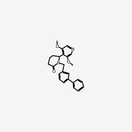 COc1cncc(OC)c1C1CCCC(=O)N1Cc1cccc(-c2ccccc2)c1